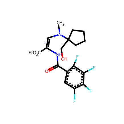 CCOC(=O)/C(=C/N(C)C1(CO)CCCC1)NC(=O)c1cc(F)c(F)c(F)c1F